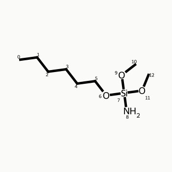 CCCCCCO[Si](N)(OC)OC